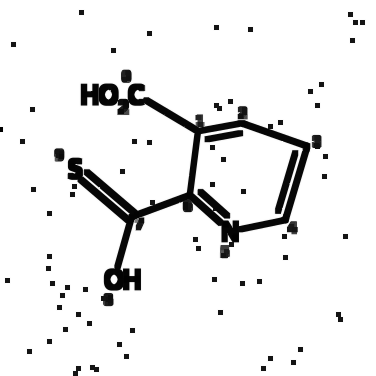 O=C(O)c1cccnc1C(O)=S